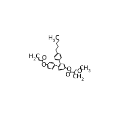 C=CC(=O)Oc1ccc(-c2ccc(OC(=O)C(=C)COC)cc2-c2ccc(CCCCC)cc2)cc1